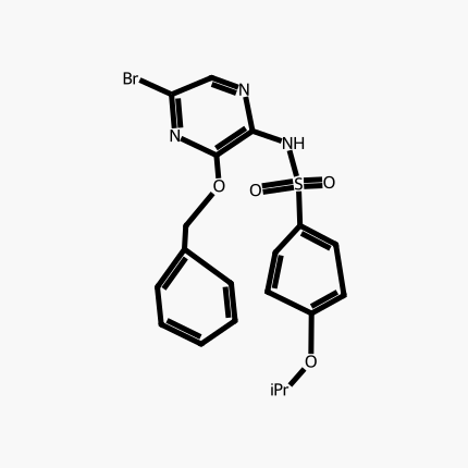 CC(C)Oc1ccc(S(=O)(=O)Nc2ncc(Br)nc2OCc2ccccc2)cc1